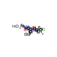 Cc1cc(Cl)ccc1-c1ccc(NC(=O)C(Cc2ccc(C(=O)NCCS(=O)(=O)O)cc2)c2ccc(C(C)(C)C)cc2)cc1C